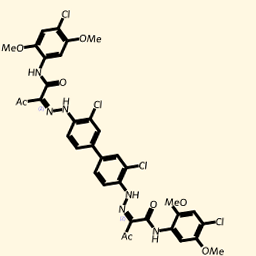 COc1cc(NC(=O)/C(=N\Nc2ccc(-c3ccc(N/N=C(/C(C)=O)C(=O)Nc4cc(OC)c(Cl)cc4OC)c(Cl)c3)cc2Cl)C(C)=O)c(OC)cc1Cl